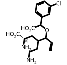 C=CC(OC(C(=O)O)c1cccc(Cl)c1)C(CCN)C[C@H](N)C(=O)O